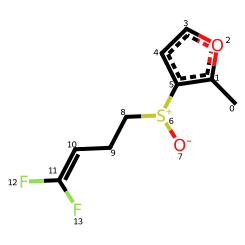 Cc1occc1[S+]([O-])CCC=C(F)F